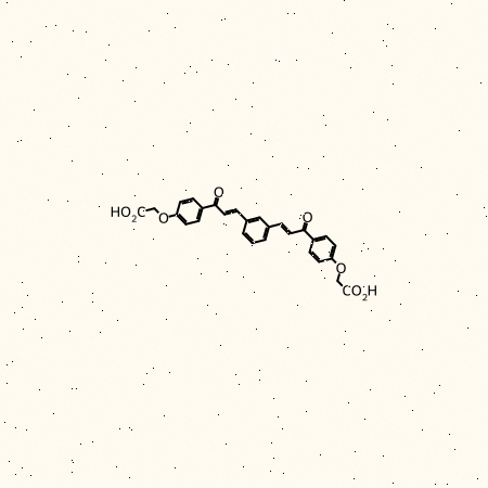 O=C(O)COc1ccc(C(=O)/C=C/c2cccc(/C=C/C(=O)c3ccc(OCC(=O)O)cc3)c2)cc1